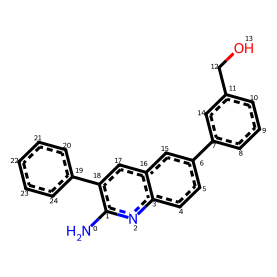 Nc1nc2ccc(-c3cccc(CO)c3)cc2cc1-c1ccccc1